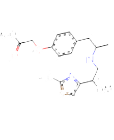 COC(=O)COc1ccc(CC(C)NCC(OC)c2csc(C(F)(F)F)n2)cc1